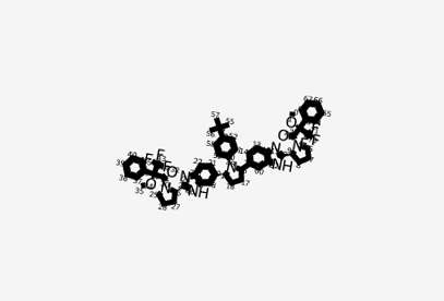 CO[C@@](C(=O)N1CCC[C@H]1c1nc2ccc(C3CC[C@H](c4ccc5nc([C@@H]6CCCN6C(=O)[C@](OC)(c6ccccc6)C(F)(F)F)[nH]c5c4)N3c3ccc(C(C)(C)C)cc3)cc2[nH]1)(c1ccccc1)C(F)(F)F